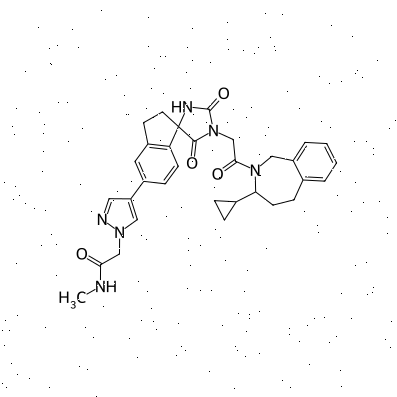 CNC(=O)Cn1cc(-c2ccc3c(c2)CCC32NC(=O)N(CC(=O)N3Cc4ccccc4CCC3C3CC3)C2=O)cn1